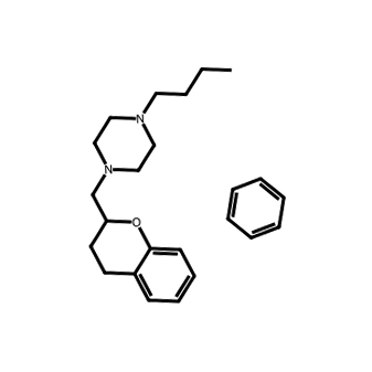 CCCCN1CCN(CC2CCc3ccccc3O2)CC1.c1ccccc1